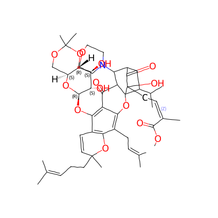 COC(=O)/C(C)=C\CC1(O)C(=O)C2CC(C(C)C)C13Oc1c(CC=C(C)C)c4c(c(O[C@H]5O[C@H]6COC(C)(C)O[C@@H]6[C@@H](O)[C@@H]5O)c1C(=O)C3C2N1CCOCC1)C=CC(C)(CCC=C(C)C)O4